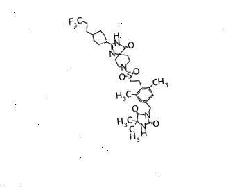 Cc1cc(CN2C(=O)NC(C)(C)C2=O)cc(C)c1CCS(=O)(=O)N1CCC2(CC1)N=C(C1CCC(CCC(F)(F)F)CC1)NC2=O